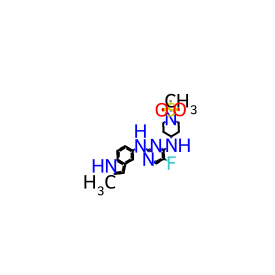 Cc1cc2cc(Nc3ncc(F)c(NC4CCN(S(C)(=O)=O)CC4)n3)ccc2[nH]1